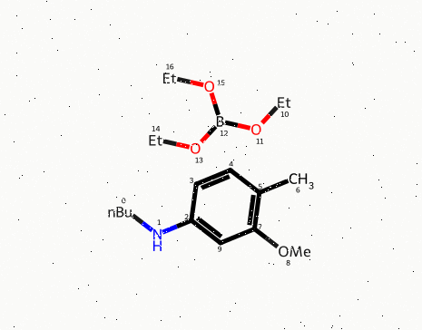 CCCCNc1ccc(C)c(OC)c1.CCOB(OCC)OCC